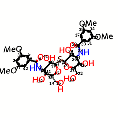 COc1cc(OC)cc(C(=O)N[C@H]2[C@@H](O)[C@@H](CO)O[C@@H](S[C@@H]3O[C@H](CO)[C@H](O)[C@H](NC(=O)c4cc(OC)cc(OC)c4)[C@H]3O)[C@@H]2O)c1